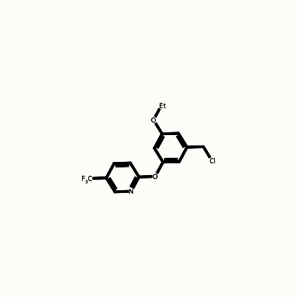 CCOc1cc(CCl)cc(Oc2ccc(C(F)(F)F)cn2)c1